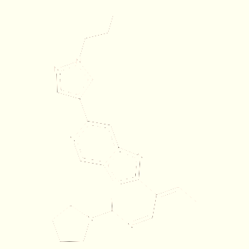 C/C=C(\C=N/C(C)N1CCCC1)c1nc2cc(-c3cnn(CCF)c3)ncc2s1